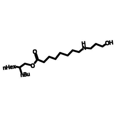 CCCCCCC(CCCC)COC(=O)CCCCCCCNCCCO